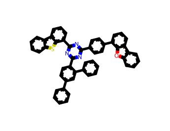 c1ccc(-c2ccc(-c3nc(-c4ccc(-c5cccc6c5oc5ccccc56)cc4)nc(-c4cccc5c4sc4ccccc45)n3)c(-c3ccccc3)c2)cc1